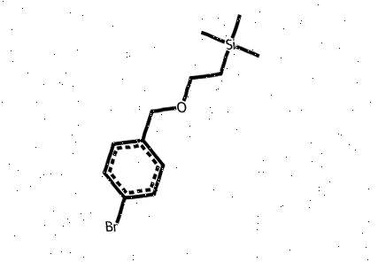 C[Si](C)(C)CCOCc1ccc(Br)cc1